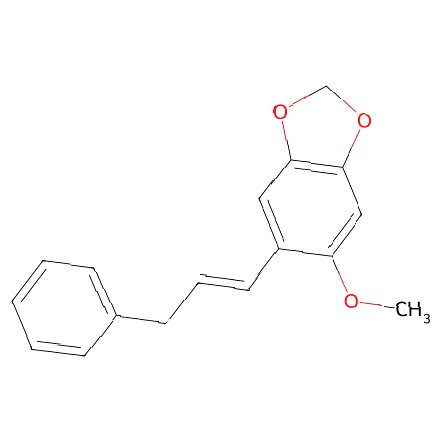 COc1cc2c(cc1C=CCc1ccccc1)OCO2